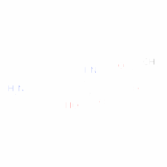 CC(=O)OCNC(CCCCN)C(=O)O